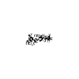 CCOC(=O)c1sc(N2CC[C@@H](NC(=O)c3[nH]c(C)c(Cl)c3Cl)[C@@H](OC)C2)nc1-c1cc(N(C)C)nc(N(C)C)n1